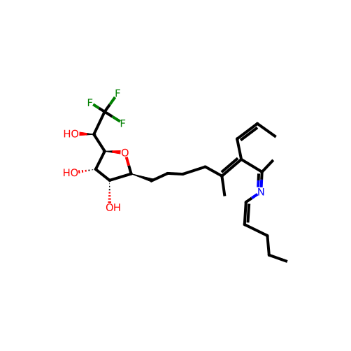 C\C=C/C(C(/C)=N\C=C/CCC)=C(/C)CCCC[C@@H]1O[C@H]([C@@H](O)C(F)(F)F)[C@@H](O)[C@H]1O